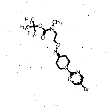 CN(CCON=C1CCN(c2ncc(Br)cn2)CC1)C(=O)OC(C)(C)C